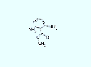 COC(=O)c1ccccc1N.N